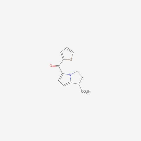 CCOC(=O)C1CCn2c(C(=O)c3cccs3)ccc21